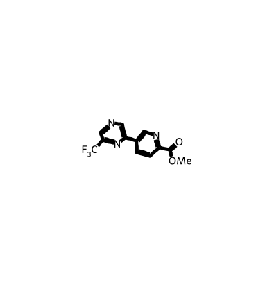 COC(=O)c1ccc(-c2cncc(C(F)(F)F)n2)cn1